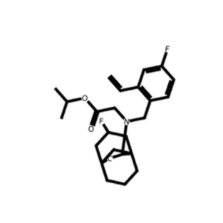 C=Cc1cc(F)ccc1CN(CC(=O)OC(C)C)C1CC23CCCC1(CC(F)C2)C3